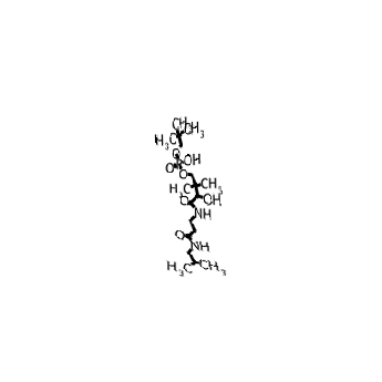 CC(C)CNC(=O)CCNC(=O)C(O)C(C)(C)COP(=O)(O)OCC(C)(C)C